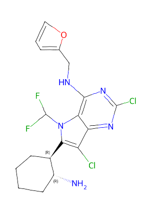 N[C@@H]1CCCC[C@H]1c1c(Cl)c2nc(Cl)nc(NCc3ccco3)c2n1C(F)F